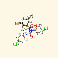 CC1(C)N(c2ccc(Cl)cc2)C(=O)N(c2ccc(Cl)cc2)C1(O)c1cc(Br)cc(C#N)c1